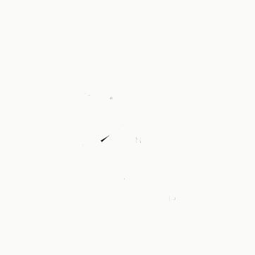 CC(C)[C@H](c1ccccc1Cl)[C@@H](NC(=O)OC(C)(C)C)C(=O)O